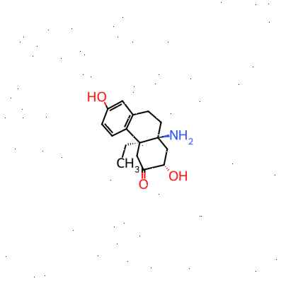 CC[C@@]12CC(=O)[C@@H](O)C[C@@]1(N)CCc1cc(O)ccc12